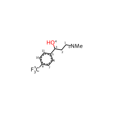 CNCCC(O)c1ccc(C(F)(F)F)cc1